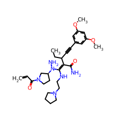 C=CC(=O)N1CC[C@H](N(N)/C(NCCN2CCCC2)=C(/C(N)=O)C(C#Cc2cc(OC)cc(OC)c2)CC)C1